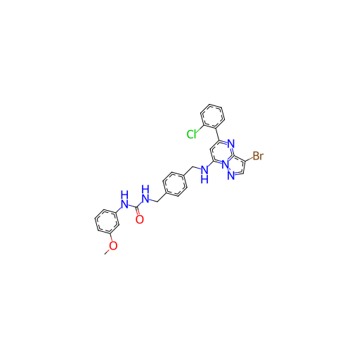 COc1cccc(NC(=O)NCc2ccc(CNc3cc(-c4ccccc4Cl)nc4c(Br)cnn34)cc2)c1